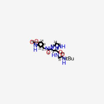 C[C@H](NC(=O)C1=CC(C(=O)NCc2ccc3oc(=O)[nH]c3c2)=NC2=CCNN21)C(=O)NC(C)(C)C